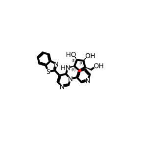 OC[C@H]1C[C@@H](NC2C(c3nc4ccccc4s3)=CN=CN2c2cccnc2)[C@H](O)[C@@H]1O